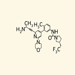 Cc1ccc(NC(=O)N2CC[C@@H](CC(F)(F)F)C2)cc1-c1cc(C#CC(C)N)nc(N2CCOCC2)c1